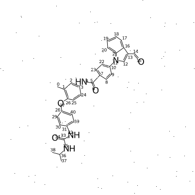 Cc1cc(NC(=O)c2ccc(-n3cc(C=O)c4ccccc43)cc2)ccc1Oc1ccc(NC(=O)NC(C)C)cc1